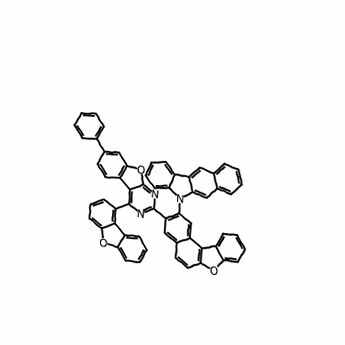 c1ccc(-c2ccc3c(c2)oc2nc(-c4cc5ccc6oc7ccccc7c6c5cc4-n4c5ccccc5c5cc6ccccc6cc54)nc(-c4cccc5oc6ccccc6c45)c23)cc1